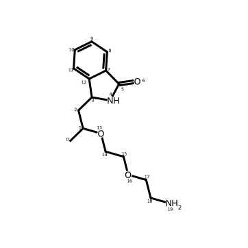 CC(CC1NC(=O)c2ccccc21)OCCOCCN